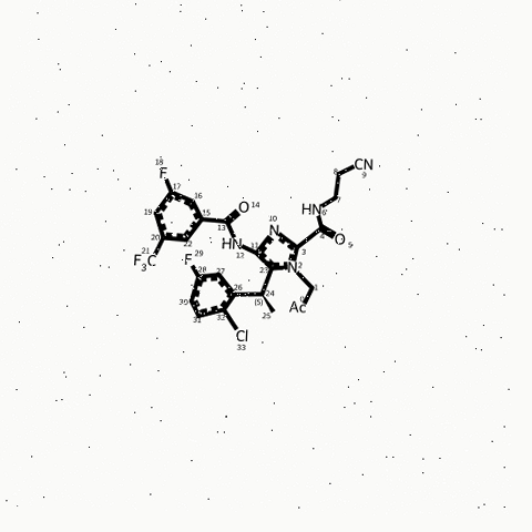 CC(=O)Cn1c(C(=O)NCCC#N)nc(NC(=O)c2cc(F)cc(C(F)(F)F)c2)c1[C@@H](C)c1cc(F)ccc1Cl